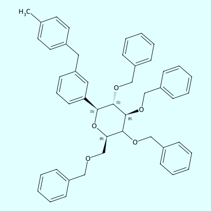 Cc1ccc(Cc2cccc([C@@H]3O[C@H](COCc4ccccc4)C(OCc4ccccc4)[C@H](OCc4ccccc4)[C@H]3OCc3ccccc3)c2)cc1